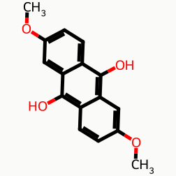 COc1ccc2c(O)c3cc(OC)ccc3c(O)c2c1